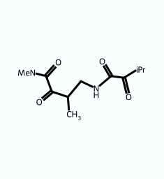 CNC(=O)C(=O)C(C)CNC(=O)C(=O)C(C)C